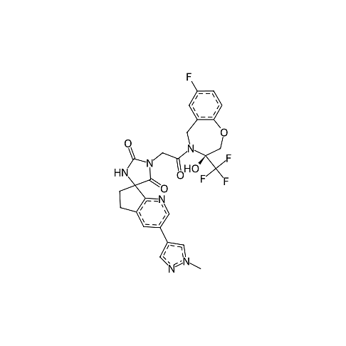 Cn1cc(-c2cnc3c(c2)CCC32NC(=O)N(CC(=O)N3Cc4cc(F)ccc4OC[C@]3(O)C(F)(F)F)C2=O)cn1